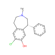 [11CH3]N1CCc2cc(Cl)c(O)cc2[C@@H](c2ccccc2)C1